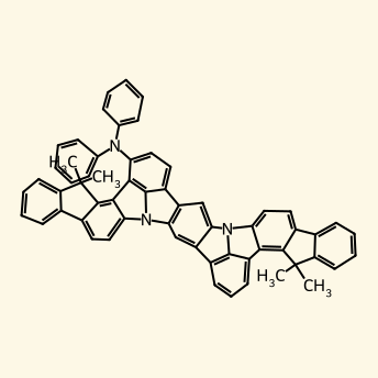 CC1(C)c2ccccc2-c2ccc3c(c21)c1cccc2c4cc5c(cc4n3c21)c1ccc(N(c2ccccc2)c2ccccc2)c2c3c4c(ccc3n5c12)-c1ccccc1C4(C)C